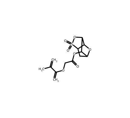 C=C(C)C(=C)OCC(=O)OC1C2CC3C(O2)C1OS3(=O)=O